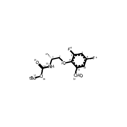 C[C@H](COc1c(F)cc(F)cc1C=O)NC(=O)OC(C)(C)C